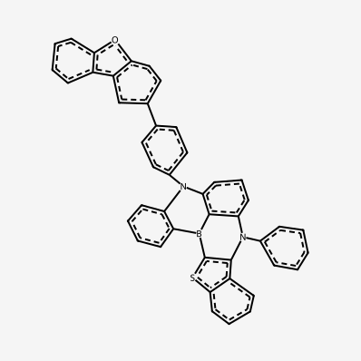 c1ccc(N2c3cccc4c3B(c3ccccc3N4c3ccc(-c4ccc5oc6ccccc6c5c4)cc3)c3sc4ccccc4c32)cc1